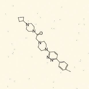 Cc1ccc(-c2ccc(N3CCN(CC(=O)N4CCN(C5CCC5)CC4)CC3)nn2)cc1